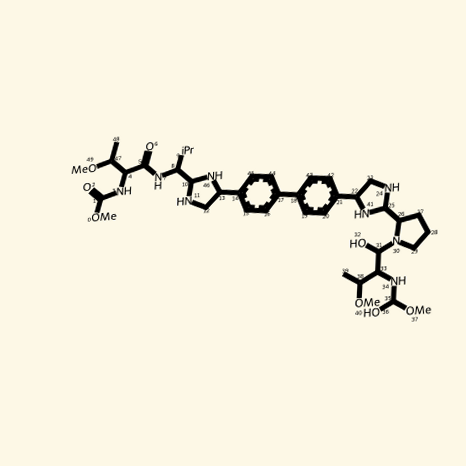 COC(=O)NC(C(=O)NC(C(C)C)C1NCC(c2ccc(-c3ccc(C4CNC(C5CCCN5C(O)C(NC(O)OC)C(C)OC)N4)cc3)cc2)N1)C(C)OC